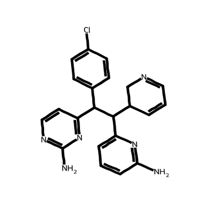 Nc1cccc(C(C2C=CC=NC2)C(c2ccc(Cl)cc2)c2ccnc(N)n2)n1